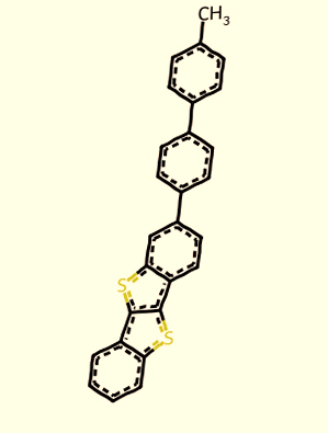 Cc1ccc(-c2ccc(-c3ccc4c(c3)sc3c5ccccc5sc43)cc2)cc1